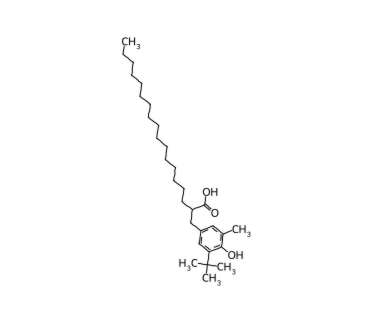 CCCCCCCCCCCCCCCCC(Cc1cc(C)c(O)c(C(C)(C)C)c1)C(=O)O